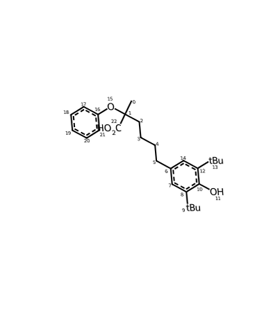 CC(CCCCc1cc(C(C)(C)C)c(O)c(C(C)(C)C)c1)(Oc1ccccc1)C(=O)O